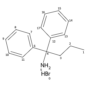 Br.CCCC(N)(c1ccccc1)c1ccccc1